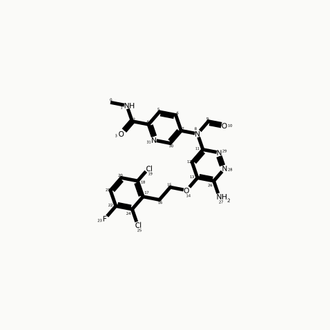 CNC(=O)c1ccc(N(C=O)c2cc(OCCc3c(Cl)ccc(F)c3Cl)c(N)nn2)cn1